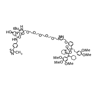 COc1ccc(CC[C@H](OC(=O)[C@H]2CCCCN2C(=O)[C@H](c2cc(OC)c(OC)c(OC)c2)C2CCCCC2)c2cccc(OCc3cn(CCOCCOCCOCCOCCOCC(=O)N[C@H](C(=O)N4C[C@H](O)C[C@H]4C(=O)NCc4ccc(-c5scnc5C)cc4)C(C)(C)C)nn3)c2)cc1OC